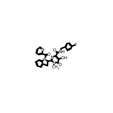 Cn1c(C2Cc3ccccc3N2C(=O)c2ccccn2)nc(C(=O)NCc2ccc(F)cc2)c(O)c1=O